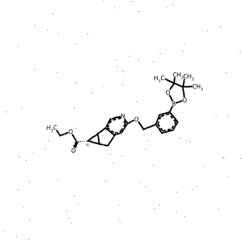 CCOC(=O)[C@H]1C2Cc3cc(OCc4cccc(B5OC(C)(C)C(C)(C)O5)c4)ncc3C21